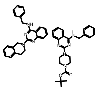 CC(C)(C)OC(=O)N1CCN(c2nc(NCc3ccccc3)c3ccccc3n2)CC1.c1ccc(CNc2nc(N3CCc4ccccc4C3)nc3ccccc23)cc1